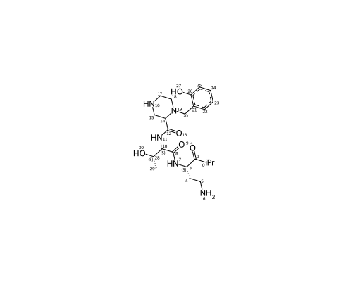 CC(C)C(=O)[C@H](CCN)NC(=O)[C@@H](NC(=O)C1CNCCN1Cc1ccccc1O)[C@H](C)O